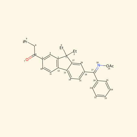 CCC1(CC)c2cc(C(=O)CC(C)C)ccc2-c2ccc(C(=NOC(C)=O)c3ccccc3)cc21